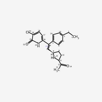 CCc1ccc(/C(=C\[C@H]2CCC(C(C)=O)N2)c2ccc(Cl)c(=O)[nH]2)cc1